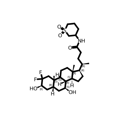 C[C@H](CCC(=O)NC1CCCS(=O)(=O)C1)[C@H]1CC[C@H]2[C@@H]3[C@@H](O)C[C@@H]4C[C@@H](O)C(F)(F)C[C@]4(C)[C@H]3CC[C@]12C